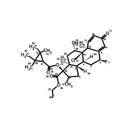 CC1C[C@H]2[C@@H]3C[C@H](F)C4=CC(=O)C=C[C@]4(C)[C@@]3(Cl)[C@@H](O)C[C@]2(C)[C@@]1(OC(=O)C1C(C)(C)C1(C)C)C(=O)OCF